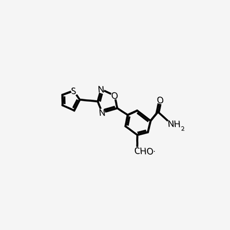 NC(=O)c1cc([C]=O)cc(-c2nc(-c3cccs3)no2)c1